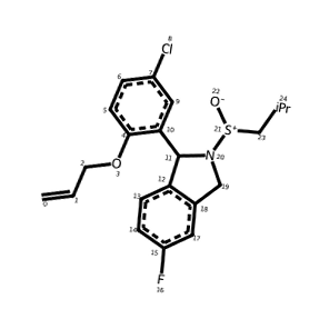 C=CCOc1ccc(Cl)cc1C1c2ccc(F)cc2CN1[S+]([O-])CC(C)C